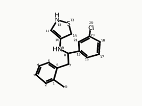 Cc1ccccc1CC(NC1=CNSC1)c1cccc(Cl)c1